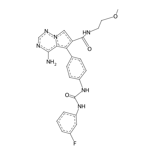 COCCNC(=O)c1cn2ncnc(N)c2c1-c1ccc(NC(=O)Nc2cccc(F)c2)cc1